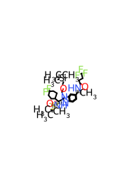 C[C@@H](NC(=O)CCC(F)(F)F)c1ccc2nc([C@@H](N[S@+]([O-])C(C)(C)C)C3CCC(F)(F)CC3)n(COCC[Si](C)(C)C)c2c1